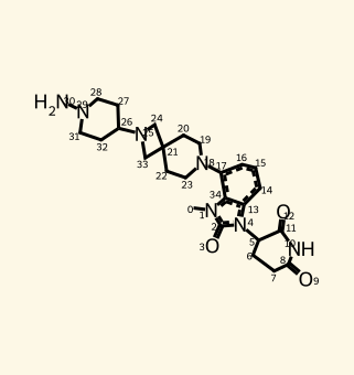 Cn1c(=O)n(C2CCC(=O)NC2=O)c2cccc(N3CCC4(CC3)CN(C3CCN(N)CC3)C4)c21